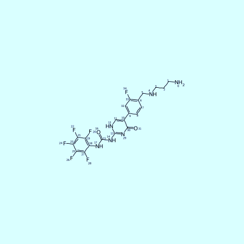 NCCCNCc1ccc(-c2c[nH]c(NC(=O)Nc3c(F)c(F)c(F)c(F)c3F)nc2=O)cc1F